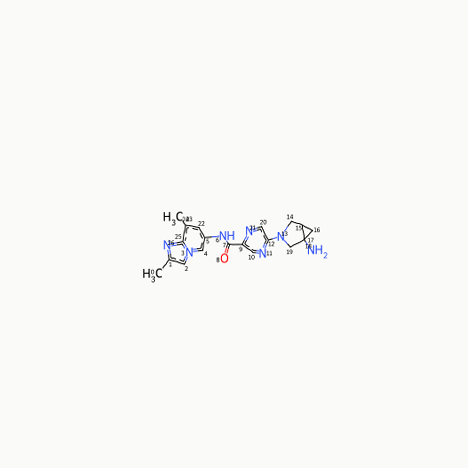 Cc1cn2cc(NC(=O)c3cnc(N4CC5CC5(N)C4)cn3)cc(C)c2n1